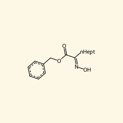 CCCCCCCC(=NO)C(=O)OCc1ccccc1